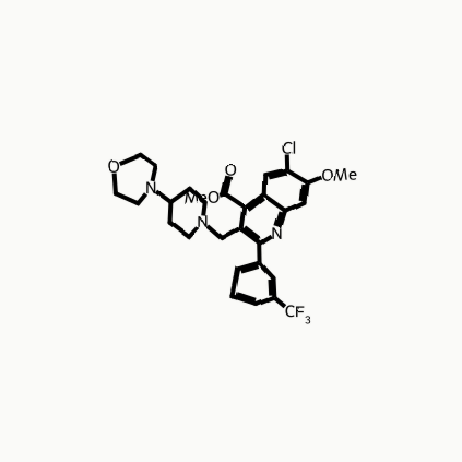 COC(=O)c1c(CN2CCC(N3CCOCC3)CC2)c(-c2cccc(C(F)(F)F)c2)nc2cc(OC)c(Cl)cc12